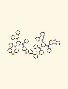 c1ccc(N(c2cc(-c3cc4ccccc4c4ccccc34)cc(N(c3ccccc3)c3cccc4c3sc3c(-c5ccc6c(c5)oc5ccc(N(c7ccccc7)c7cc(-c8cc9ccccc9c9ccccc89)cc(N(c8ccccc8)c8cccc9oc%10ccccc%10c89)c7)cc56)cccc34)c2)c2ccc3oc4ccccc4c3c2)cc1